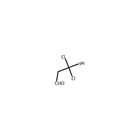 CCCC(Cl)(Cl)CC=O